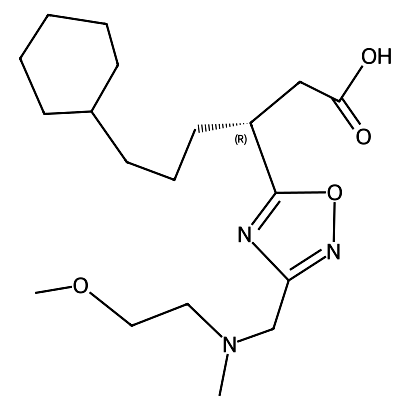 COCCN(C)Cc1noc([C@H](CCCC2CCCCC2)CC(=O)O)n1